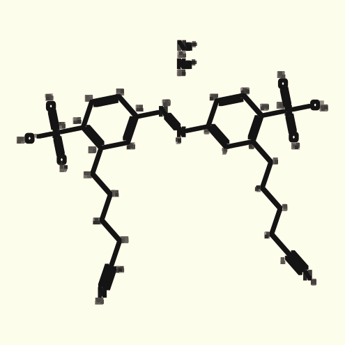 N#CCCCCc1cc(N=Nc2ccc(S(=O)(=O)[O-])c(CCCCC#N)c2)ccc1S(=O)(=O)[O-].[Na+].[Na+]